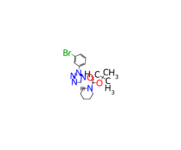 CC(C)(C)OC(=O)N1CCCC[C@@H]1c1nnn(-c2cccc(Br)c2)n1